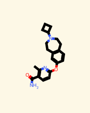 Cc1nc(Oc2ccc3c(c2)CCN(C2CCC2)CC3)ccc1C(N)=O